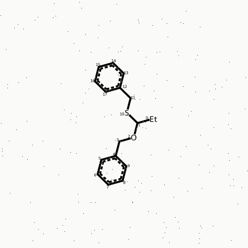 CCC(OCc1ccccc1)SCc1ccccc1